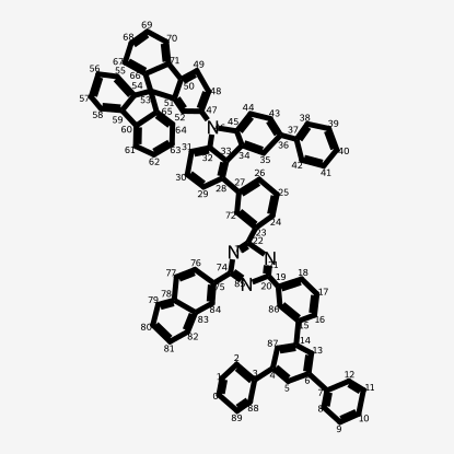 c1ccc(-c2cc(-c3ccccc3)cc(-c3cccc(-c4nc(-c5cccc(-c6cccc7c6c6cc(-c8ccccc8)ccc6n7-c6ccc7c(c6)C6(c8ccccc8-c8ccccc86)c6ccccc6-7)c5)nc(-c5ccc6ccccc6c5)n4)c3)c2)cc1